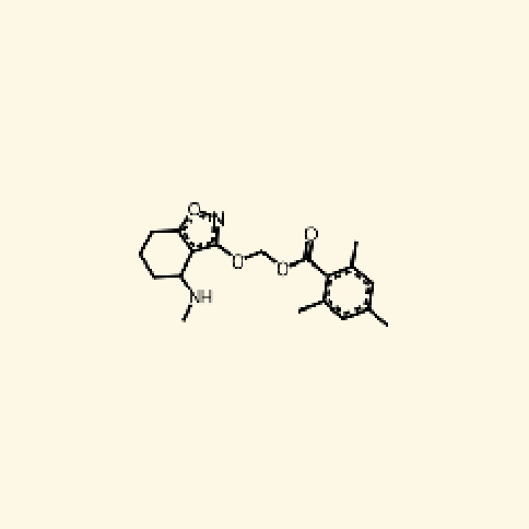 CNC1CCCc2onc(OCOC(=O)c3c(C)cc(C)cc3C)c21